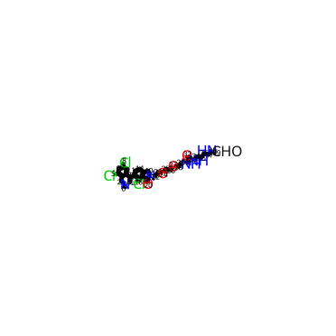 CN1Cc2c(Cl)cc(Cl)cc2C(c2ccc3c(c2Cl)C(=O)N(CCOCCOCCNC(=O)NCCCCNC=O)C3)C1